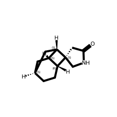 O=C1C[C@]2(CN1)[C@@H]1CC[C@H]3C[C@@H]1[C@@H]2C3